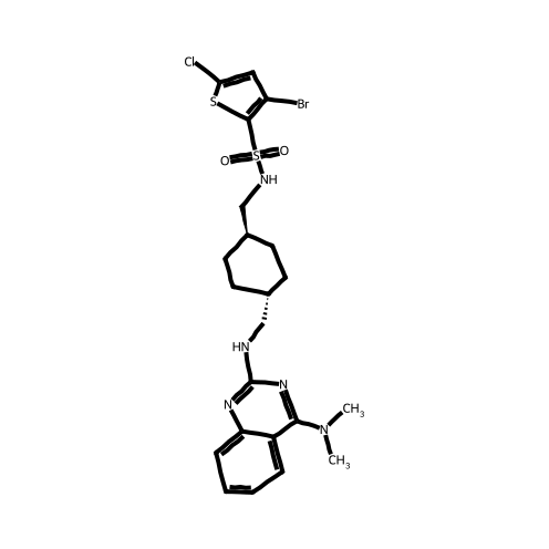 CN(C)c1nc(NC[C@H]2CC[C@H](CNS(=O)(=O)c3sc(Cl)cc3Br)CC2)nc2ccccc12